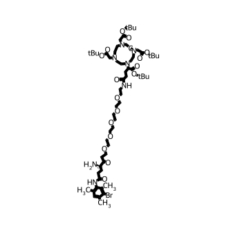 Cc1cc(C)c(NC(=O)CC[C@@H](N)C(=O)CCOCCOCCOCCOCCOCCNC(=O)CCC(C(=O)OC(C)(C)C)N2CCN(CC(=O)OC(C)(C)C)CCN(CC(=O)OC(C)(C)C)CCN(CC(=O)OC(C)(C)C)CC2)c(C)c1Br